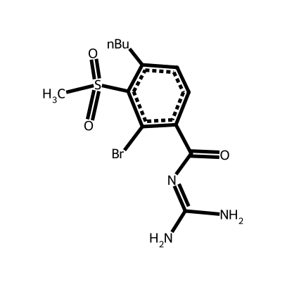 CCCCc1ccc(C(=O)N=C(N)N)c(Br)c1S(C)(=O)=O